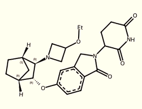 CCOC1CN([C@@H]2[C@H]3CC[C@H](C3)[C@H]2Oc2ccc3c(c2)CN(C2CCC(=O)NC2=O)C3=O)C1